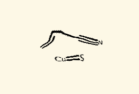 C=CC#N.[S]=[Cu]